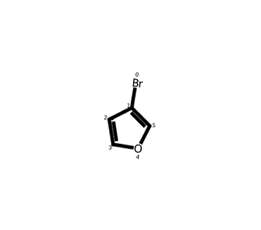 Brc1[c]coc1